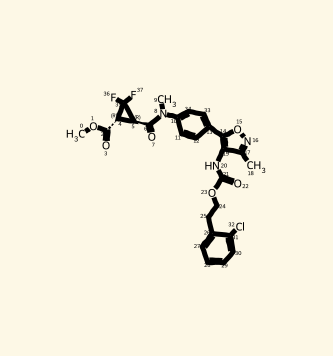 COC(=O)[C@H]1[C@H](C(=O)N(C)c2ccc(-c3onc(C)c3NC(=O)OCCc3ccccc3Cl)cc2)C1(F)F